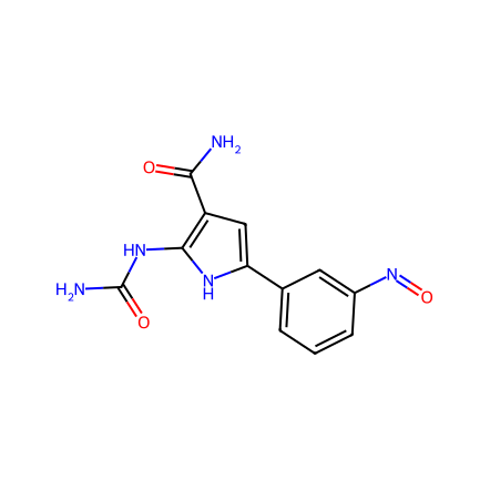 NC(=O)Nc1[nH]c(-c2cccc(N=O)c2)cc1C(N)=O